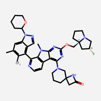 Cc1cc2c(cnn2C2CCCCO2)c(-c2nccc3c4c(N5CCCC6(CC(=O)N6)C5)nc(OC[C@@]56CCCN5C[C@H](F)C6)nc4n(C)c23)c1C(F)(F)F